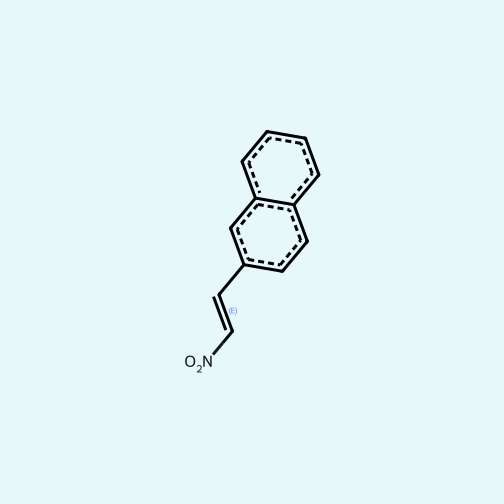 O=[N+]([O-])/C=C/c1ccc2ccccc2c1